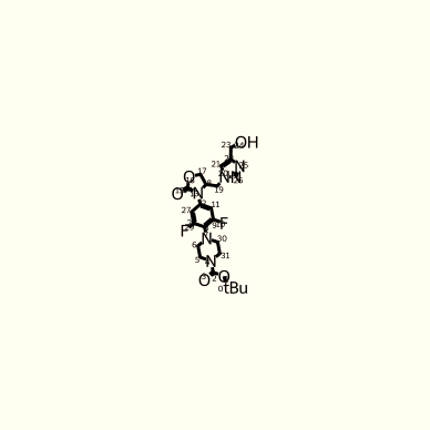 CC(C)(C)OC(=O)N1CCN(c2c(F)cc(N3C(=O)OCC3Cn3cc(CO)nn3)cc2F)CC1